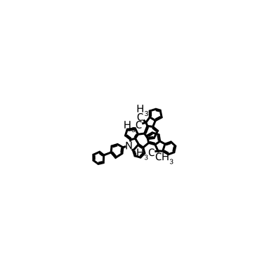 CC1(C)c2ccccc2-c2cccc(-c3cccc4c3c3c(-c5cccc6c5C(C)(C)c5ccccc5-6)cccc3n4-c3ccc(-c4ccccc4)cc3)c21